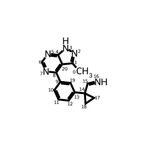 Cc1n[nH]c2ncnc(-c3cccc(C4(C=N)CC4)c3)c12